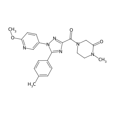 COc1ccc(-n2nc(C(=O)N3CCN(C)C(=O)C3)nc2-c2ccc(C)cc2)cn1